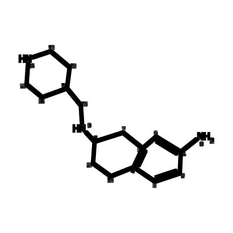 Nc1ccc2c(c1)CC(NCC1CCNCC1)CC2